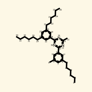 CCCCCCc1cc(C)cc(-c2nc(C)nc(-c3cc(CCCCCC)cc(CCCCCC)c3)n2)c1